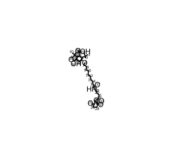 CC(C)(C)c1c(OCCCCCCCCCC(=O)NCCCC(=O)ON2C(=O)CCC2=O)cc(C(=O)O)c(C(C)(C)C)c1C(=O)O